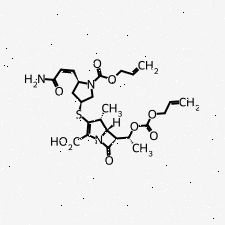 C=CCOC(=O)O[C@H](C)[C@H]1C(=O)N2C(C(=O)O)=C(S[C@H]3C[C@@H](/C=C\C(N)=O)N(C(=O)OCC=C)C3)[C@H](C)[C@H]12